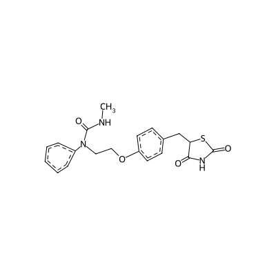 CNC(=O)N(CCOc1ccc(CC2SC(=O)NC2=O)cc1)c1ccccc1